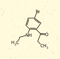 CCNc1ccc(Br)cc1C(=O)CC